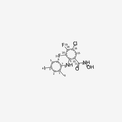 Cc1cc(I)ccc1Nc1c(C(=O)NO)cc(Cl)c(F)c1F